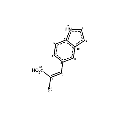 CCC(=Cc1ccc2[nH]ccc2c1)C(=O)O